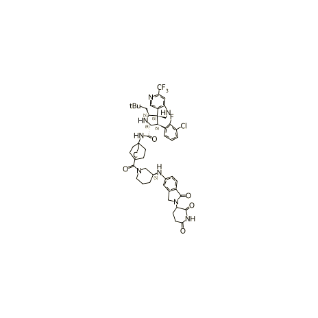 CC(C)(C)C[C@@H]1N[C@@H](C(=O)NC23CCC(C(=O)N4CCC[C@H](Nc5ccc6c(c5)CN(C5CCC(=O)NC5=O)C6=O)C4)(CC2)CC3)[C@H](c2cccc(Cl)c2F)[C@]12CNc1cc(C(F)(F)F)ncc12